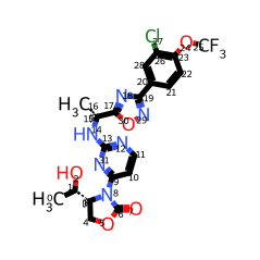 CC(O)[C@H]1COC(=O)N1c1ccnc(N[C@H](C)c2nc(-c3ccc(OC(F)(F)F)c(Cl)c3)no2)n1